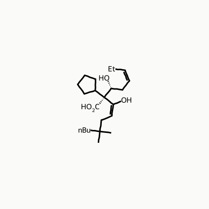 CC/C=C\C[C@@H](O)[C@@](C(=O)O)(/C(O)=C\CC(C)(C)CCCC)C1CCCC1